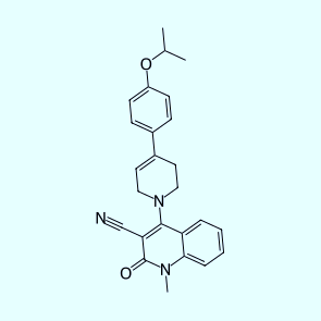 CC(C)Oc1ccc(C2=CCN(c3c(C#N)c(=O)n(C)c4ccccc34)CC2)cc1